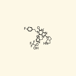 Cn1c(=O)n(CCc2ccc(F)cc2)c(=O)c2c1nc(N1CCC3CNCC31)n2Cc1ncco1.O=C(O)C(F)(F)F